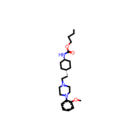 CCCCOC(=O)N[C@H]1CC[C@H](CCN2CCN(c3ccccc3OC)CC2)CC1